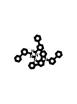 c1ccc(-c2cccc(-c3nc(-c4cccc(-c5ccccc5)c4)nc(-n4c5ccccc5c5ccc6c(c7ccccc7n6-c6cccc(-c7ccccc7)c6)c54)n3)c2)cc1